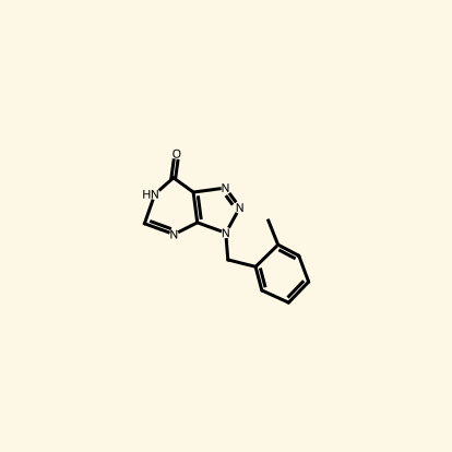 Cc1ccccc1Cn1nnc2c(=O)[nH]cnc21